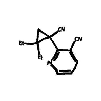 CCC1(CC)CC1(C#N)c1ncccc1C#N